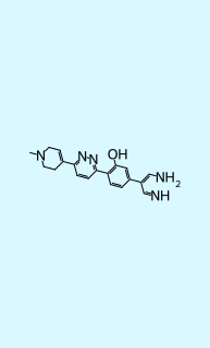 CN1CC=C(c2ccc(-c3ccc(/C(C=N)=C/N)cc3O)nn2)CC1